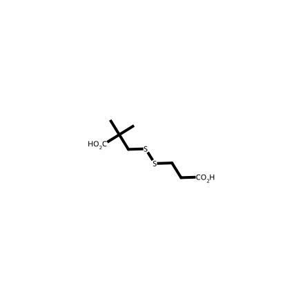 CC(C)(CSSCCC(=O)O)C(=O)O